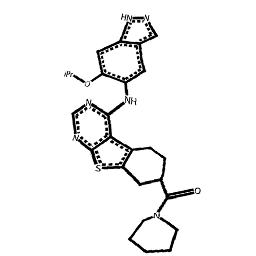 CC(C)Oc1cc2[nH]ncc2cc1Nc1ncnc2sc3c(c12)CCC(C(=O)N1CCCCC1)C3